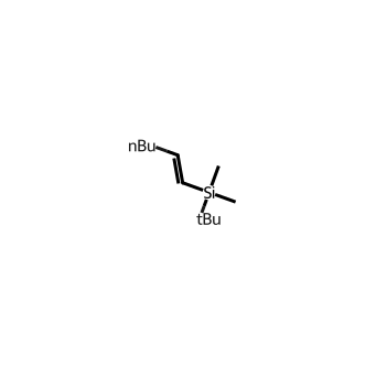 CCCCC=C[Si](C)(C)C(C)(C)C